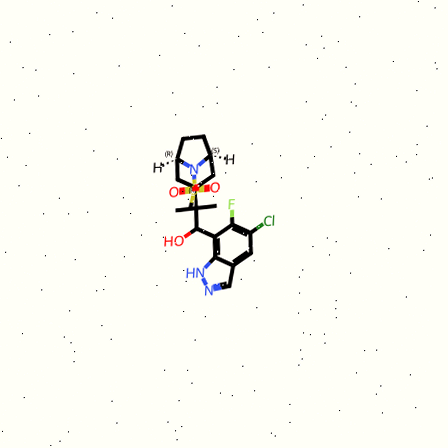 CC(C)(C(O)c1c(F)c(Cl)cc2cn[nH]c12)[C@H]1C[C@H]2CC[C@@H](C1)N2S(C)(=O)=O